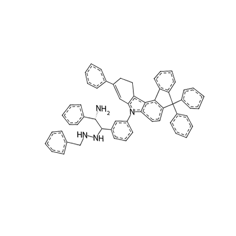 N[C@@H](c1ccccc1)C(NNCc1ccccc1)c1cccc(-n2c3c(c4c5c(ccc42)C(c2ccccc2)(c2ccccc2)c2ccccc2-5)CCC(c2ccccc2)=C3)c1